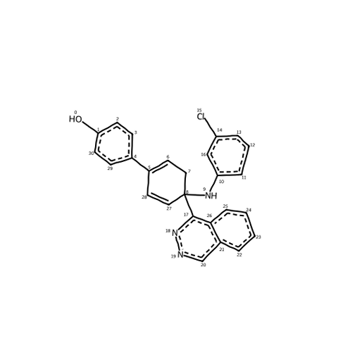 Oc1ccc(C2=CCC(Nc3cccc(Cl)c3)(c3nncc4ccccc34)C=C2)cc1